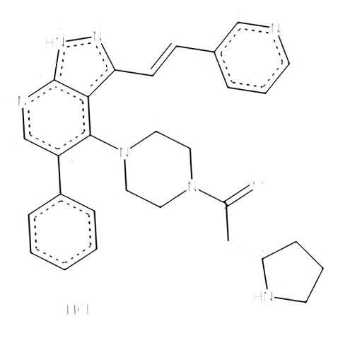 Cl.O=C(C[C@@H]1CCCN1)N1CCN(c2c(-c3ccccc3)cnc3[nH]nc(C=Cc4cccnc4)c23)CC1